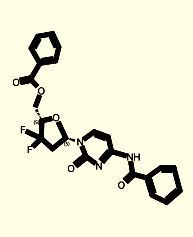 O=C(Nc1ccn([C@@H]2CC(F)(F)[C@H](COC(=O)c3ccccc3)O2)c(=O)n1)c1ccccc1